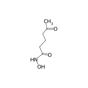 CC(=O)CCCC(=O)NO